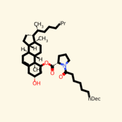 CCCCCCCCCCCCCCCC(=O)N1CCC[C@H]1C(=O)OC1C[C@H](O)CC2=CC[C@H]3[C@@H]4CC[C@H]([C@H](C)CCCC(C)C)[C@@]4(C)CC[C@@H]3[C@]21C